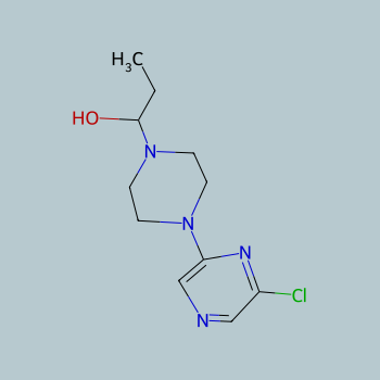 CCC(O)N1CCN(c2cncc(Cl)n2)CC1